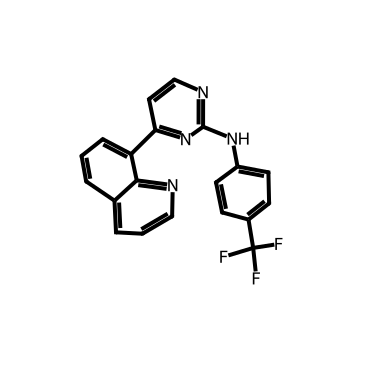 FC(F)(F)c1ccc(Nc2nccc(-c3cccc4cccnc34)n2)cc1